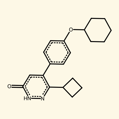 O=c1cc(-c2ccc(OC3CCCCC3)cc2)c(C2CCC2)n[nH]1